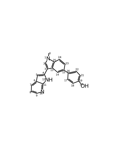 Cn1cc(-c2cc3cccnc3[nH]2)c2cc(-c3ccc(O)cc3)ccc21